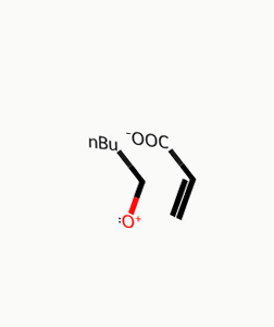 C=CC(=O)[O-].CCCCC[O+]